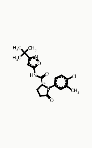 Cc1cc(N2C(=O)CC[C@H]2C(=O)Nc2cc(C(C)(C)C)no2)ccc1Cl